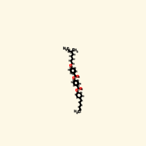 C=CCCCCC1CCC(OC(=O)c2ccc(OC(=O)c3ccc(OCCCCCC(C)CC)cc3)cc2)CC1